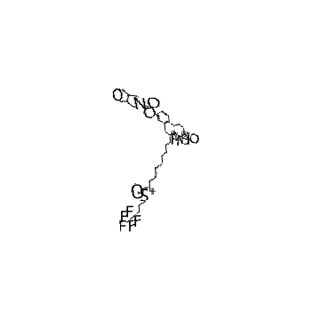 C[C@]12CCC3c4ccc(OC(=O)N5CC6COCC6C5)cc4CC(CCCCCCCCC[S+]([O-])CCCC(F)(F)C(F)(F)F)[C@H]3[C@@H]1CCC2=O